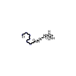 CC/C=C\C/C=C\C/C=C\C/C=C\C/C=C\C/C=C\CCC(=O)NCCSSCCOC(=O)NC(=N)NC(=N)N(C)C